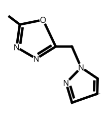 Cc1nnc(Cn2c[c]cn2)o1